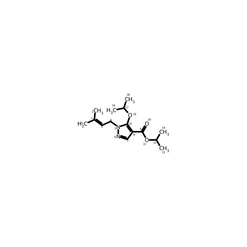 CC(C)=CCn1ncc(C(=O)OC(C)C)c1OC(C)C